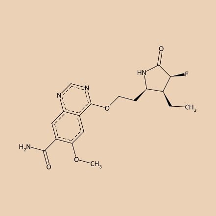 CC[C@@H]1[C@H](F)C(=O)N[C@@H]1CCOc1ncnc2cc(C(N)=O)c(OC)cc12